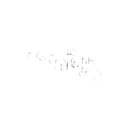 C[C@H]1C[C@@H](N2C(=N)N[C@](C)(c3cccc(-c4ccc(OC(F)(F)F)cc4Cl)c3Cl)CC2=O)CCO1.Cl